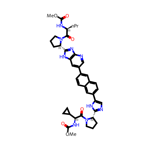 CCC[C@H](NC(=O)OC)C(=O)N1CCC[C@H]1c1nc2ncc(-c3ccc4cc(-c5cnc([C@@H]6CCCN6C(=O)[C@@H](NC(=O)OC)C6CC6)[nH]5)ccc4c3)cc2[nH]1